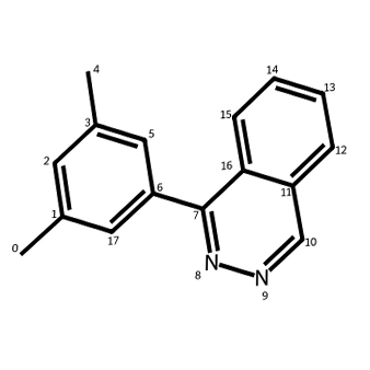 Cc1cc(C)cc(-c2nncc3ccccc23)c1